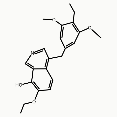 CCOc1ccc2c(Cc3cc(OC)c(CC)c(OC)c3)cncc2c1O